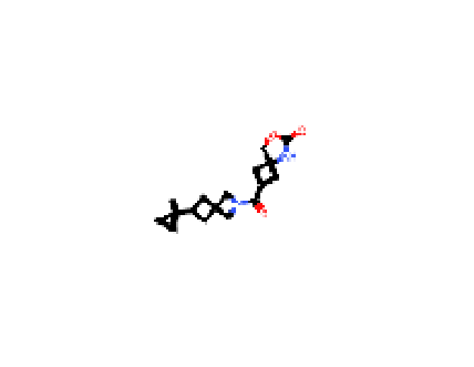 CC1(C2CC3(C2)CN(C(=O)C2CC4(COC(=O)N4)C2)C3)CC1